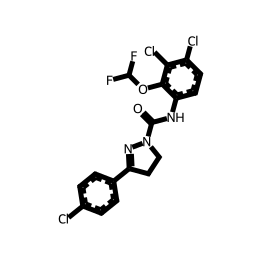 O=C(Nc1ccc(Cl)c(Cl)c1OC(F)F)N1CCC(c2ccc(Cl)cc2)=N1